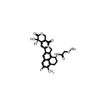 CC[C@@]1(O)C(=O)OCc2c1cc1n(c2=O)Cc2c-1cc1cc(F)c(C)c3c1c2[C@@H](NC(=O)COC(C)(C)C)CC3